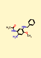 COc1cc(N)c(NC(C)=O)cc1NCc1ccccc1